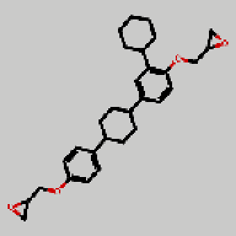 c1cc(C2CCC(c3ccc(OCC4CO4)c(C4CCCCC4)c3)CC2)ccc1OCC1CO1